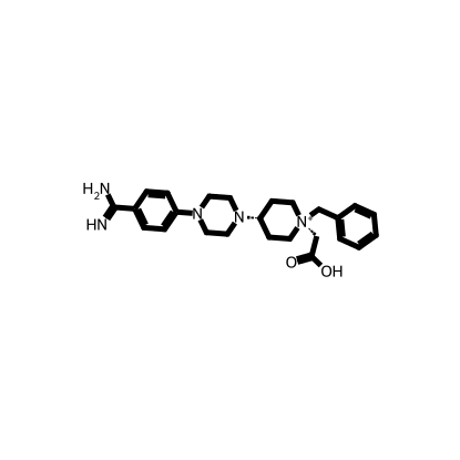 N=C(N)c1ccc(N2CCN([C@H]3CC[N@+](CC(=O)O)(Cc4ccccc4)CC3)CC2)cc1